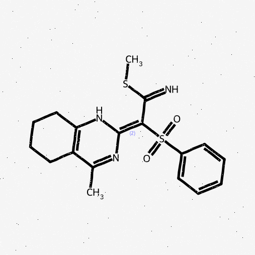 CSC(=N)/C(=C1/N=C(C)C2=C(CCCC2)N1)S(=O)(=O)c1ccccc1